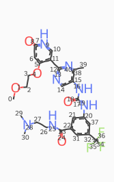 COCCOc1cc(=O)[nH]cc1-c1ncc(NC(=O)Nc2cc(C(=O)NCCN(C)C)cc(C(F)(F)F)c2)c(C)n1